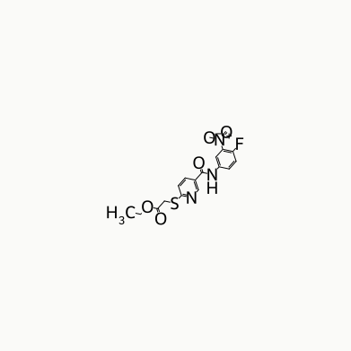 CCOC(=O)CSc1ccc(C(=O)Nc2ccc(F)c([N+](=O)[O-])c2)cn1